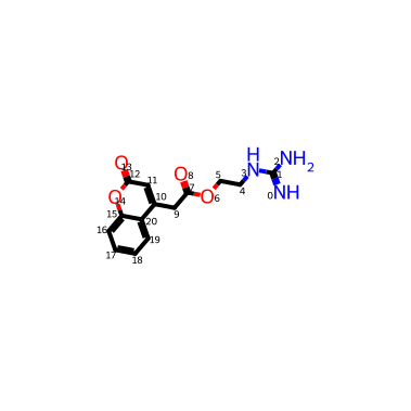 N=C(N)NCCOC(=O)Cc1cc(=O)oc2ccccc12